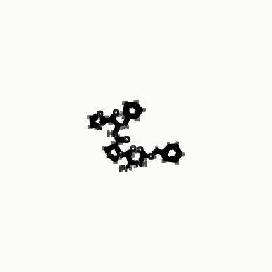 CC(C)[C@H](NC(=O)OCc1ccccc1)C(=O)N1CSC[C@H]1C(=O)N[C@@H](Cc1ccccc1)C(=O)c1ncco1